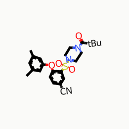 Cc1cc(C)cc(Oc2ccc(C#N)cc2S(=O)(=O)N2CCN(C(=O)C(C)(C)C)CC2)c1